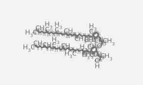 CC(C)=CCC/C(C)=C/CC/C(C)=C/C=C/C(C)=C/C=C/C=C(\C)CC/C=C(C)/C=C/C1C(C)=CCC(C/C=C(\C)CO)C1(C)C.CC(C)=CCC/C(C)=C/CC/C(C)=C/C=C/C(C)=C/C=C/C=C(\C)CC/C=C(C)/C=C/C1C(C)=CCC(C/C=C(\C)CO)C1(C)C